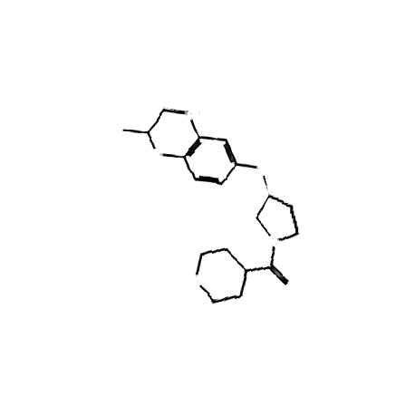 CC1CNc2cc(O[C@H]3CCN(C(=O)C4CCOCC4)C3)ccc2O1